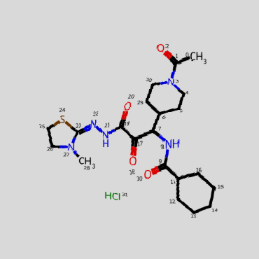 CC(=O)N1CCC(C(NC(=O)C2CCCCC2)C(=O)C(=O)NN=C2SCCN2C)CC1.Cl